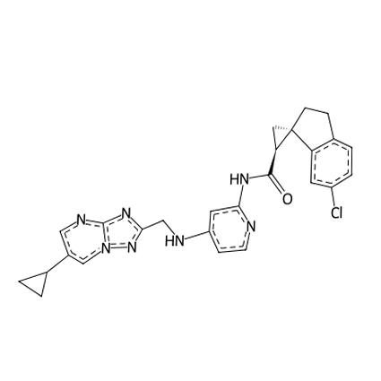 O=C(Nc1cc(NCc2nc3ncc(C4CC4)cn3n2)ccn1)[C@H]1C[C@@]12CCc1ccc(Cl)cc12